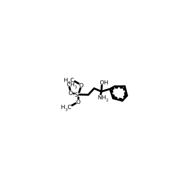 CO[Si](CCC(N)(O)c1ccccc1)(OC)OC